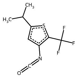 CC(C)c1cc(N=C=O)c(C(F)(F)F)s1